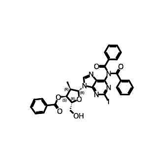 C[C@@H]1[C@H](OC(=O)c2ccccc2)[C@@H](CO)O[C@H]1n1cnc2c(N(C(=O)c3ccccc3)C(=O)c3ccccc3)nc(I)nc21